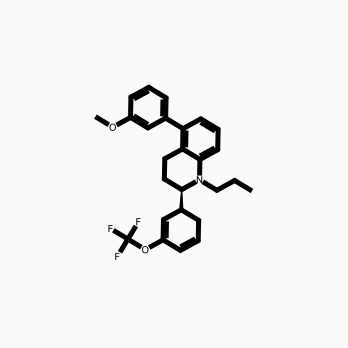 CCCN1c2cccc(-c3cccc(OC)c3)c2CC[C@@H]1C1C=C(OC(F)(F)F)C=CC1